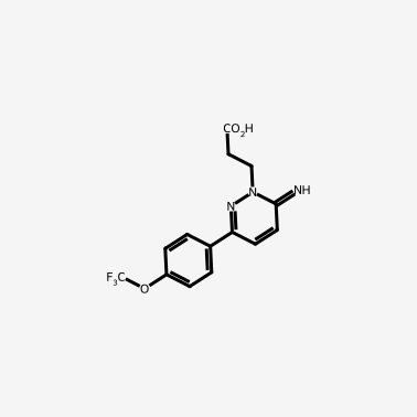 N=c1ccc(-c2ccc(OC(F)(F)F)cc2)nn1CCC(=O)O